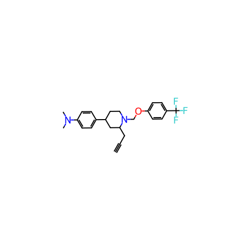 C#CCC1CC(c2ccc(N(C)C)cc2)CCN1COc1ccc(C(F)(F)F)cc1